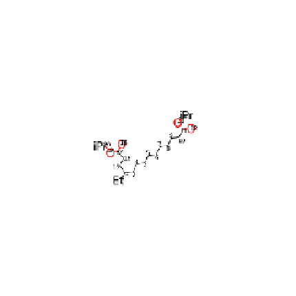 CCC(CCCCCCCCCC(=O)OC(C)C)CCC(=O)OC(C)C